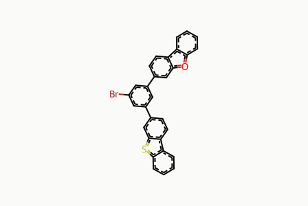 Brc1cc(-c2ccc3c(c2)oc2ccccc23)cc(-c2ccc3c(c2)sc2ccccc23)c1